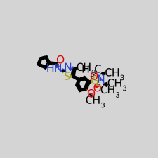 COc1ccc(-c2sc(NC(=O)C3CCCC3)nc2C)cc1S(=O)(=O)N(C(C)C)C(C)C